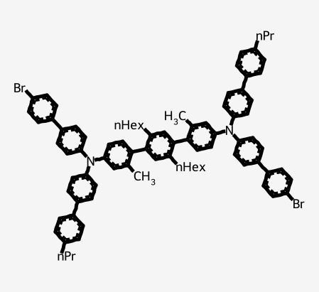 CCCCCCc1cc(-c2ccc(N(c3ccc(-c4ccc(Br)cc4)cc3)c3ccc(-c4ccc(CCC)cc4)cc3)cc2C)c(CCCCCC)cc1-c1ccc(N(c2ccc(-c3ccc(Br)cc3)cc2)c2ccc(-c3ccc(CCC)cc3)cc2)cc1C